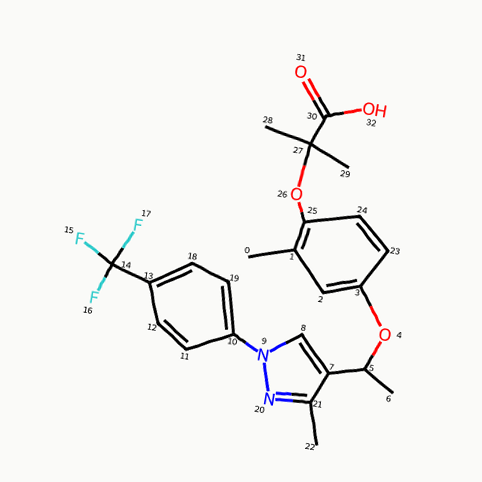 Cc1cc(OC(C)c2cn(-c3ccc(C(F)(F)F)cc3)nc2C)ccc1OC(C)(C)C(=O)O